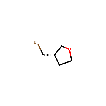 BrC[C@H]1CCOC1